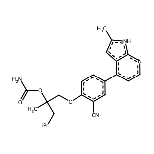 Cc1cc2c(-c3ccc(OCC(C)(CC(C)C)OC(N)=O)c(C#N)c3)ccnc2[nH]1